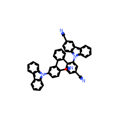 N#Cc1ccc(-c2ccccc2-c2cc(-n3c4ccccc4c4ccccc43)ccc2C#N)c(-n2c3ccccc3c3cc(C#N)ccc32)c1